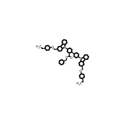 C=Cc1ccc(OCc2ccc3c(c2)c2ccccc2n3-c2ccc(-c3ccc(-n4c5ccccc5c5cc(COc6ccc(C=C)cc6)ccc54)cc3C(=O)OCc3ccccc3)cc2)cc1